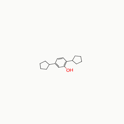 Oc1cc(C2CCCC2)ccc1C1CCCC1